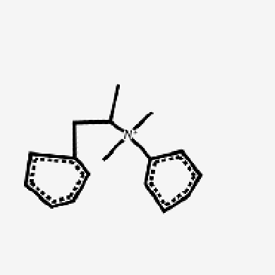 CC(Cc1ccccc1)[N+](C)(C)c1ccccc1